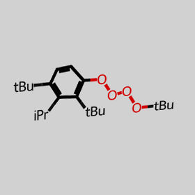 CC(C)c1c(C(C)(C)C)ccc(OOOOC(C)(C)C)c1C(C)(C)C